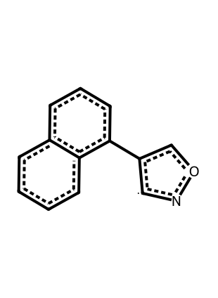 [c]1nocc1-c1cccc2ccccc12